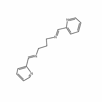 C(=NCCCN=Cc1ccccn1)c1ccccn1